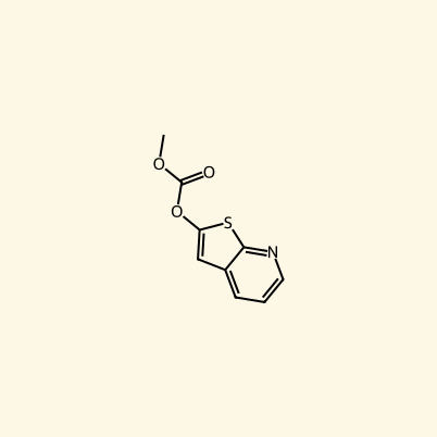 COC(=O)Oc1cc2cccnc2s1